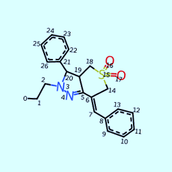 CCCN1N=C2C(=Cc3ccccc3)CS(=O)(=O)CC2C1c1ccccc1